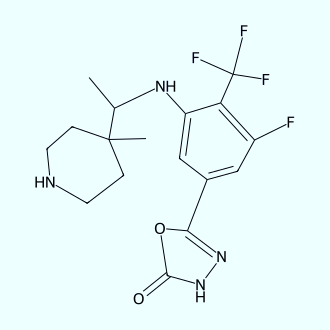 CC(Nc1cc(-c2n[nH]c(=O)o2)cc(F)c1C(F)(F)F)C1(C)CCNCC1